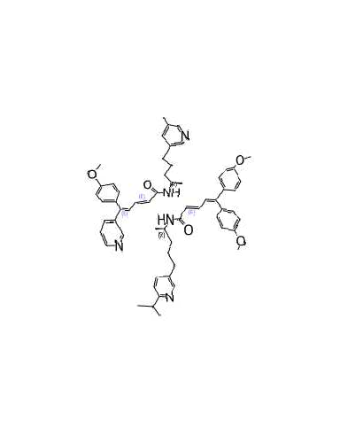 COc1ccc(/C(=C\C=C\C(=O)N[C@H](C)CCCc2cncc(C)c2)c2cccnc2)cc1.COc1ccc(C(=C/C=C/C(=O)N[C@H](C)CCCc2ccc(C(C)C)nc2)c2ccc(OC)cc2)cc1